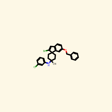 N#CC1(Nc2cccc(Cl)c2)CCC2(CC1)C(Br)=Cc1ccc(OCc3ccccc3)cc12